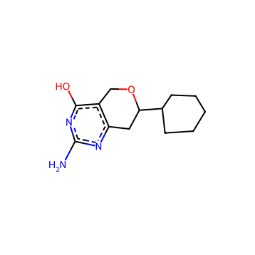 Nc1nc(O)c2c(n1)CC(C1CCCCC1)OC2